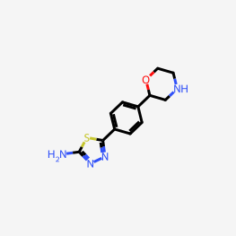 Nc1nnc(-c2ccc(C3CNCCO3)cc2)s1